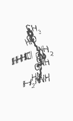 Cc1ccc(S(=O)(=O)NCCCC[C@@H](N)C(=O)N2CCC[C@H]2C(=O)N[C@H](C=O)CCCNC(=N)N)cc1.Cl.Cl